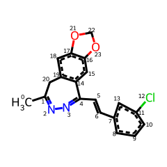 CC1=NN=C(C=Cc2cccc(Cl)c2)c2cc3c(cc2C1)OCO3